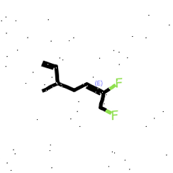 C=CC(C)C/C=C(/F)CF